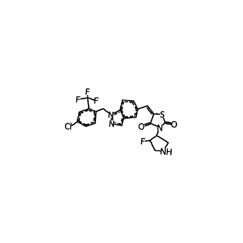 O=C1SC(=Cc2ccc3c(cnn3Cc3ccc(Cl)cc3C(F)(F)F)c2)C(=O)N1C1CNCC1F